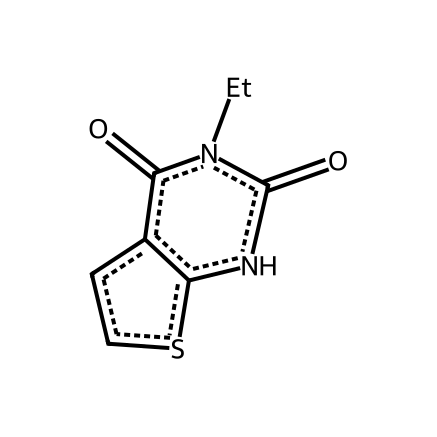 CCn1c(=O)[nH]c2sccc2c1=O